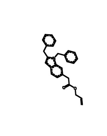 C=CCOC(=O)Cc1ccc2cc(Cc3ccccc3)n(Cc3ccccc3)c2c1